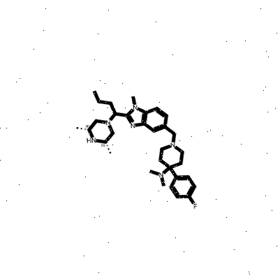 CCCC(c1nc2cc(CN3CCC(c4ccc(F)cc4)(N(C)C)CC3)ccc2n1C)N1C[C@@H](C)N[C@@H](C)C1